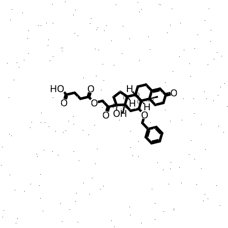 C[C@]12CCC(=O)C=C1CC[C@@H]1[C@@H]2C(OCc2ccccc2)C[C@@]2(C)[C@H]1CC[C@]2(O)C(=O)COC(=O)CCC(=O)O